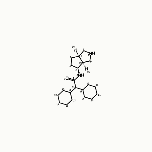 O=C(N[C@H]1CC[C@H]2CNC[C@H]21)C(C1CCCCC1)C1CCCCC1